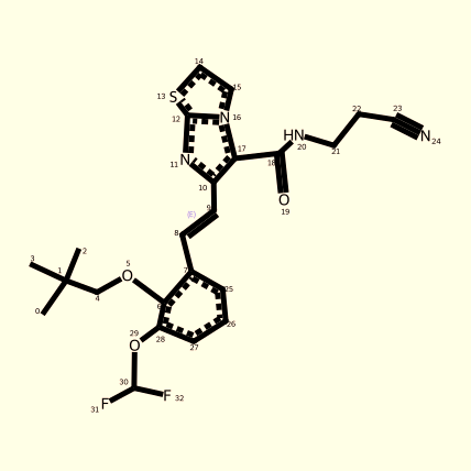 CC(C)(C)COc1c(/C=C/c2nc3sccn3c2C(=O)NCCC#N)cccc1OC(F)F